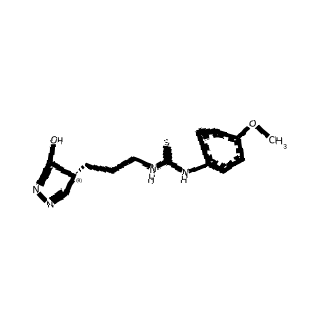 COc1ccc(NC(=S)NCCC[C@@H]2C=NN=C2O)cc1